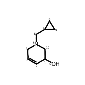 OC1C=CCN(CC2CC2)C1